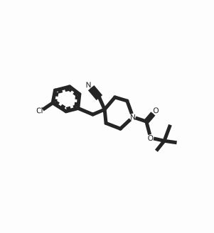 CC(C)(C)OC(=O)N1CCC(C#N)(Cc2cccc(Cl)c2)CC1